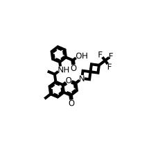 Cc1cc(C(C)Nc2ccccc2C(=O)O)c2oc(N3CC4(CC(C(F)(F)F)C4)C3)cc(=O)c2c1